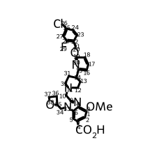 COc1cc(C(=O)O)cc2c1nc(CN1CCC(c3cccc(OCc4ccc(Cl)cc4F)n3)CC1)n2CC1CCO1